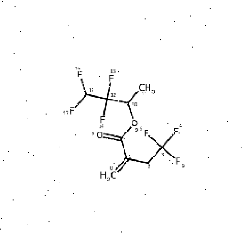 C=C(CC(F)(F)F)C(=O)OC(C)C(F)(F)C(F)F